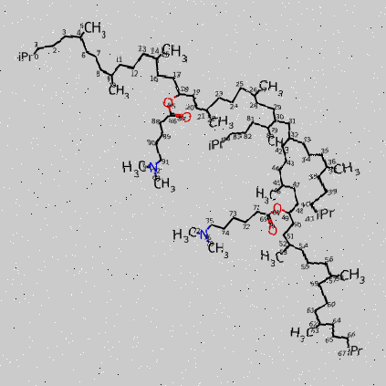 CC(C)CCCC(C)CCCC(C)CCCC(C)CCC(CCC(C)CCCC(C)CCC(CC(CCCC(C)CCCC(C)C)CCCC(C)CCC(CCC(C)CCCC(C)CCCC(C)CCCC(C)C)OC(=O)CCCCCN(C)C)C(C)CCCC(C)C)OC(=O)CCCCN(C)C